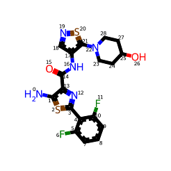 Nc1sc(-c2c(F)cccc2F)nc1C(=O)Nc1cnsc1N1CCC(O)CC1